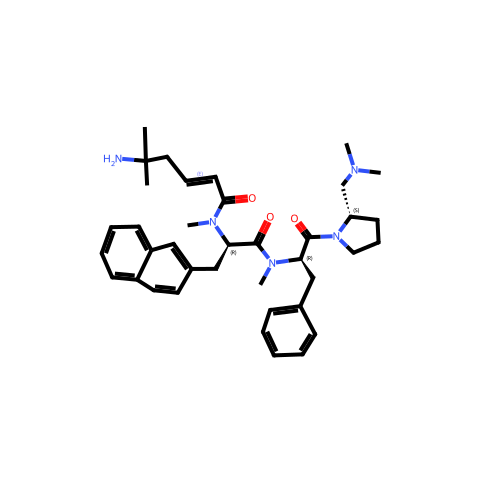 CN(C)C[C@@H]1CCCN1C(=O)[C@@H](Cc1ccccc1)N(C)C(=O)[C@@H](Cc1ccc2ccccc2c1)N(C)C(=O)/C=C/CC(C)(C)N